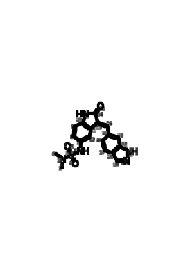 CN(C)S(=O)(=O)Nc1ccc2c(c1)/C(=C\c1ccc3cn[nH]c3c1)C(=O)N2